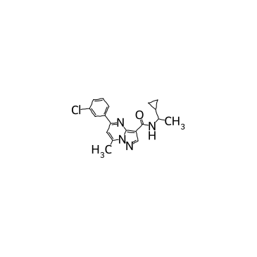 Cc1cc(-c2cccc(Cl)c2)nc2c(C(=O)NC(C)C3CC3)cnn12